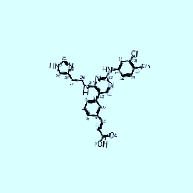 O=C(O)/C=C/c1cccc(-c2cnc(Nc3ccc(F)c(Cl)c3)nc2NCCc2c[nH]cn2)c1